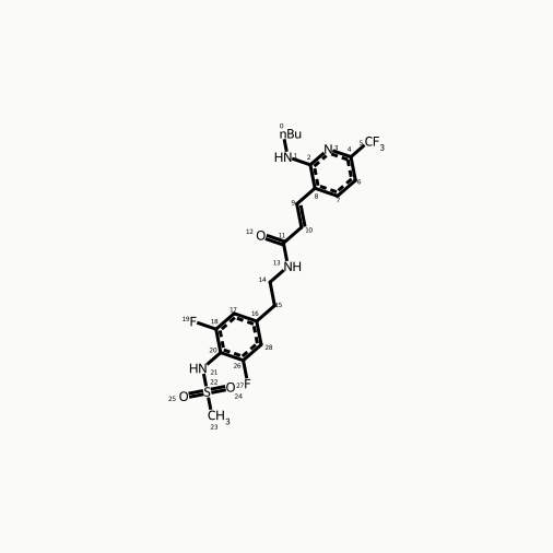 CCCCNc1nc(C(F)(F)F)ccc1C=CC(=O)NCCc1cc(F)c(NS(C)(=O)=O)c(F)c1